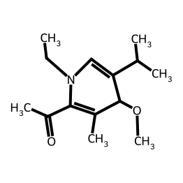 CCN1C=C(C(C)C)C(OC)C(C)=C1C(C)=O